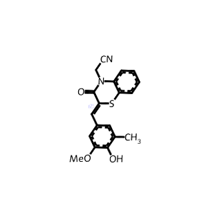 COc1cc(/C=C2\Sc3ccccc3N(CC#N)C2=O)cc(C)c1O